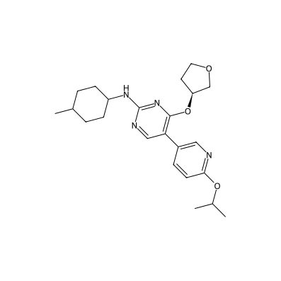 CC1CCC(Nc2ncc(-c3ccc(OC(C)C)nc3)c(O[C@H]3CCOC3)n2)CC1